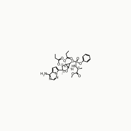 CCC(=O)O[C@@H]1[C@@]2(OC(=O)CC)C(OP(=O)(N[C@@H](C)C(=O)OC)Oc3ccccc3)[C@H]2O[C@@]1(C)c1ccc2c(N)ncnn12